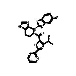 O=C(c1oc(-c2ncccn2)nc1C(F)F)N1CCc2[nH]cnc2[C@H]1c1nc2cc(F)ccc2o1